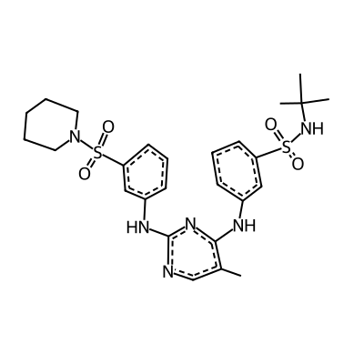 Cc1cnc(Nc2cccc(S(=O)(=O)N3CCCCC3)c2)nc1Nc1cccc(S(=O)(=O)NC(C)(C)C)c1